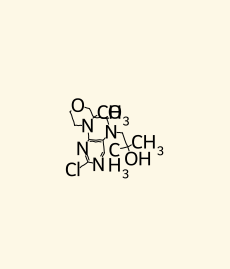 CC(C)(O)CN1C(=O)C2(C)COCCN2c2nc(Cl)ncc21